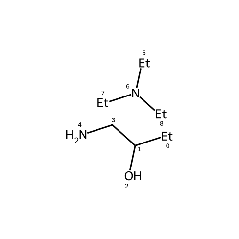 CCC(O)CN.CCN(CC)CC